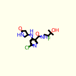 CC(C)(O)C(F)CNC(=O)c1cnc(Cl)cc1NC1CNC(=O)C1